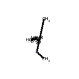 CCCCCCCC/C=C\CCCCCCCC(=O)OC(COC(=O)CCCCCCCCCCCCCCCCC)COP(=O)(O)OCC(N)C(=O)O